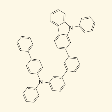 c1ccc(-c2ccc(N(c3ccccc3)c3cccc(-c4cccc(-c5ccc6c7ccccc7n(-c7ccccc7)c6c5)c4)c3)cc2)cc1